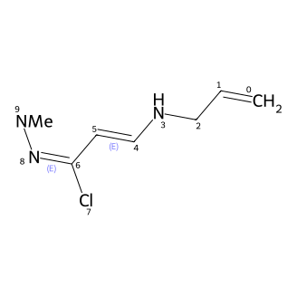 C=CCN/C=C/C(Cl)=N\NC